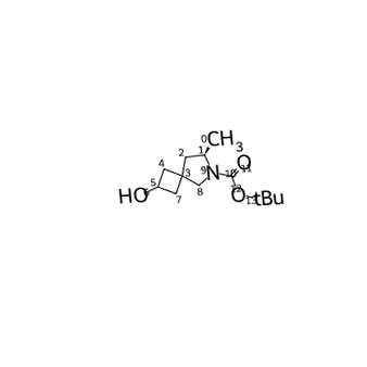 C[C@@H]1CC2(CC(O)C2)CN1C(=O)OC(C)(C)C